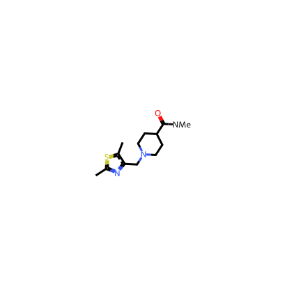 CNC(=O)C1CCN(Cc2nc(C)sc2C)CC1